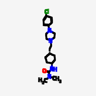 CN(C)C(=O)N[C@H]1CC[C@H](CCN2CCN(c3ccc(Cl)cc3)CC2)CC1